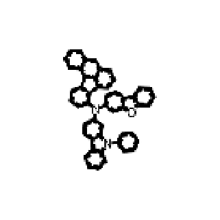 c1ccc(-n2c3ccccc3c3ccc(N(c4ccc5c(c4)oc4ccccc45)c4cccc5c4-c4cccc6cc7ccccc7c-5c46)cc32)cc1